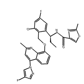 CC[C@H](NC(=O)c1coc(C)n1)c1cc(F)cc(Cl)c1COc1cccc2c(-n3cc(F)cn3)cc(C)nc12